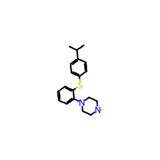 CC(C)c1ccc(Sc2ccccc2N2CC[N]CC2)cc1